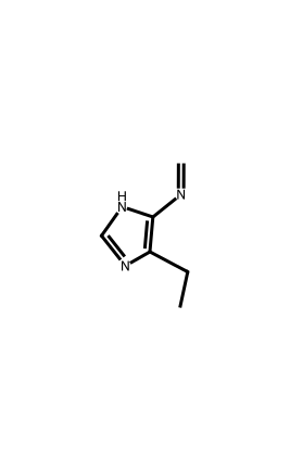 C=Nc1[nH]cnc1CC